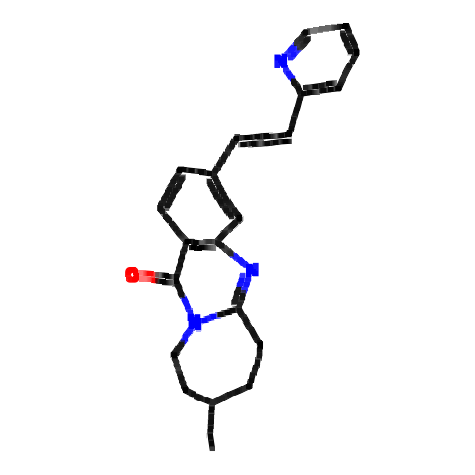 CC1CCc2nc3cc(C=Cc4ccccn4)ccc3c(=O)n2CC1